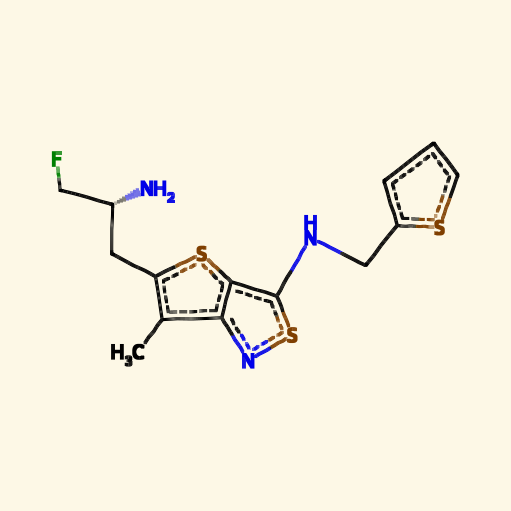 Cc1c(C[C@@H](N)CF)sc2c(NCc3cccs3)snc12